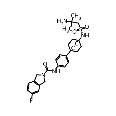 CC(C)(N)CS(=O)(=O)NC12CCC(c3ccc(NC(=O)N4Cc5ccc(F)cc5C4)cc3)(CC1)CC2